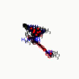 CCC(=O)N(CCC(=O)NCCOCCOCCOCCOCCC(=O)NC(C(=O)N[C@@H](CCCNC(N)=O)C(=O)Nc1ccc(C(OC(=O)N(C)C(C(=O)N[C@H](C(=O)N(C)[C@@H]([C@@H](C)CC)[C@@H](CC(=O)N2CCC[C@H]2[C@H](OC)[C@@H](C)C(=O)N[C@@H](Cc2ccccc2)c2nccs2)OC)C(C)C)C(C)C)C(=O)N2CCN(C)CC2)cc1)C(C)C)C(C)=O